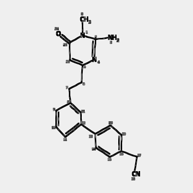 Cn1c(N)nc(CCc2cccc(-c3ccc(CC#N)cc3)c2)cc1=O